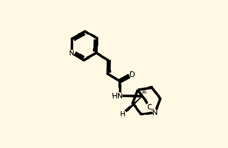 O=C(C=Cc1cccnc1)N[C@H]1CN2CCC1CC2